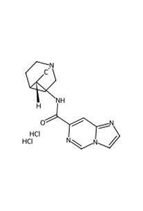 Cl.Cl.O=C(N[C@H]1CN2CCC1CC2)c1cc2nccn2cn1